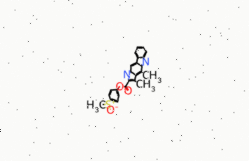 CC1=C(C(=O)Oc2ccc([S+](C)[O-])cc2)N=c2cc3c(c(C)c21)=Nc1ccccc1-3